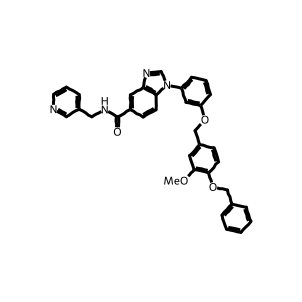 COc1cc(COc2cccc(-n3cnc4cc(C(=O)NCc5cccnc5)ccc43)c2)ccc1OCc1ccccc1